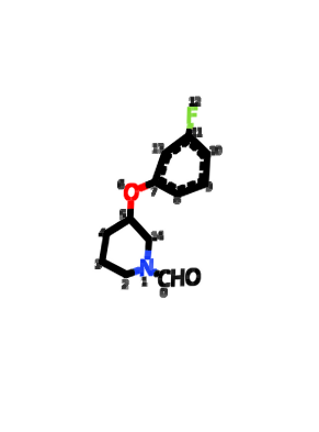 O=CN1CCCC(Oc2c[c]cc(F)c2)C1